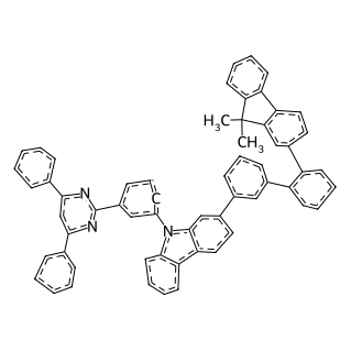 CC1(C)c2ccccc2-c2ccc(-c3ccccc3-c3cccc(-c4ccc5c6ccccc6n(-c6cccc(-c7nc(-c8ccccc8)cc(-c8ccccc8)n7)c6)c5c4)c3)cc21